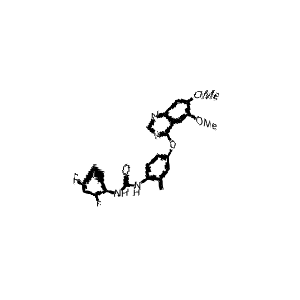 COc1cc2ncnc(Oc3ccc(NC(=O)Nc4ccc(F)cc4F)c(C)c3)c2cc1OC